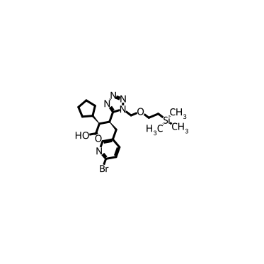 C[Si](C)(C)CCOCn1nnnc1[C@@H](Cc1ccc(Br)nc1)[C@@H](C(=O)O)C1CCCC1